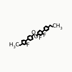 CCCc1ccc(-c2ccc(OC(=O)c3ccc(-c4ccc(CC)cc4F)cc3)c(F)c2F)cc1